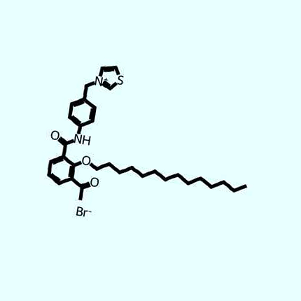 CCCCCCCCCCCCCCOc1c(C(C)=O)cccc1C(=O)Nc1ccc(C[n+]2ccsc2)cc1.[Br-]